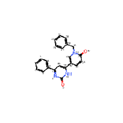 O=c1nc(-c2ccccc2)cc(-c2ccc(=O)n(Cc3ccccc3)c2)[nH]1